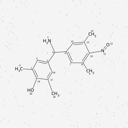 Cc1cc(C(N)c2cc(C)c(N=O)c(C)c2)cc(C)c1O